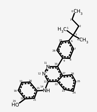 CCCC(C)(C)c1ccc(-c2nnc(Nc3cccc(O)c3)c3ccccc23)cc1